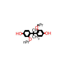 CCCOc1cc(O)ccc1C(C)(C)c1ccc(O)cc1OCCC